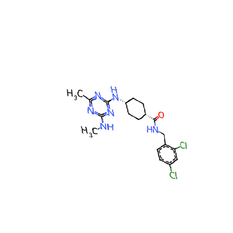 CNc1nc(C)nc(N[C@H]2CC[C@@H](C(=O)NCc3ccc(Cl)cc3Cl)CC2)n1